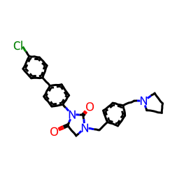 O=C1CN(Cc2ccc(CN3CCCC3)cc2)C(=O)N1c1ccc(-c2ccc(Cl)cc2)cc1